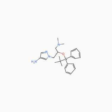 CN(C)CC(Cn1cc(N)cn1)O[Si](c1ccccc1)(c1ccccc1)C(C)(C)C